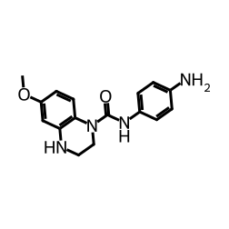 COc1ccc2c(c1)NCCN2C(=O)Nc1ccc(N)cc1